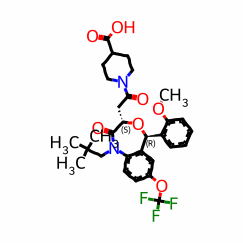 COc1ccccc1[C@@H]1O[C@@H](CC(=O)N2CCC(C(=O)O)CC2)C(=O)N(CC(C)(C)C)c2ccc(OC(F)(F)F)cc21